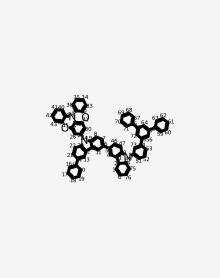 C1=CC2c3cc(-c4ccc5c(c4)c4cc(-c6ccccc6)ccc4n5-c4cc5c6c(c4)Oc4ccccc4N6c4ccccc4O5)ccc3N(c3cccc(-c4cc(-c5ccccc5)cc(-c5ccccc5)c4)c3)C2C=C1